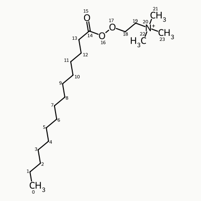 CCCCCCCCCCCCCCC(=O)OOCC[N+](C)(C)C